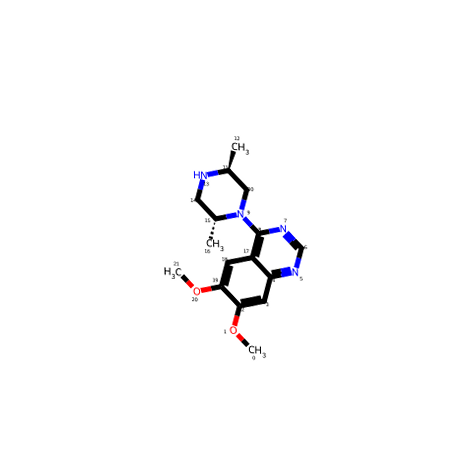 COc1cc2ncnc(N3C[C@H](C)NC[C@H]3C)c2cc1OC